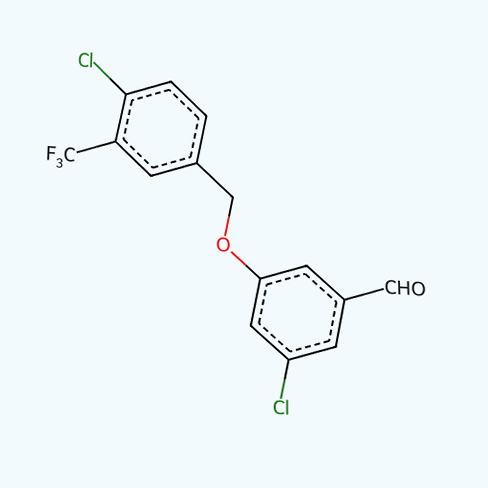 O=Cc1cc(Cl)cc(OCc2ccc(Cl)c(C(F)(F)F)c2)c1